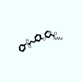 CNC(=O)c1cc(Oc2cccc(CCC(=O)Nc3ccccc3)c2)ccn1